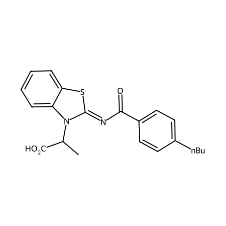 CCCCc1ccc(C(=O)/N=c2\sc3ccccc3n2C(C)C(=O)O)cc1